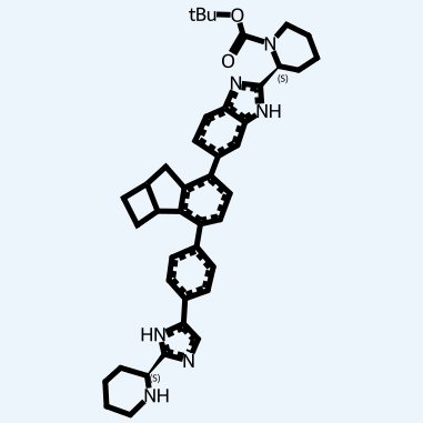 CC(C)(C)OC(=O)N1CCCC[C@H]1c1nc2ccc(-c3ccc(-c4ccc(-c5cnc([C@@H]6CCCCN6)[nH]5)cc4)c4c3CC3CCC43)cc2[nH]1